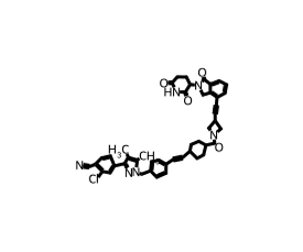 Cc1c(-c2ccc(C#N)c(Cl)c2)nn(Cc2ccc(C#CC3CCC(C(=O)N4CC(C#Cc5cccc6c5CN(C5CCC(=O)NC5=O)C6=O)C4)CC3)cc2)c1C